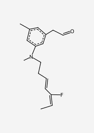 C/C=C(F)\C=C\CCN(C)c1cc(C)cc(CC=O)c1